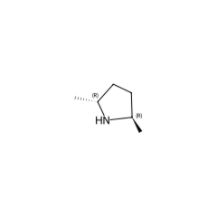 C[C@@H]1CC[C@@H](C)N1